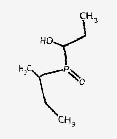 CCC(C)[P](=O)C(O)CC